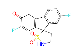 O=C1CC2=C(C=C1F)C1(CCNS1(=O)=O)c1cc(F)ccc12